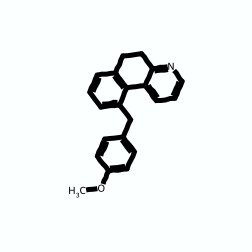 COc1ccc(Cc2cccc3c2-c2cccnc2CC3)cc1